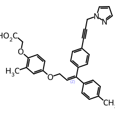 Cc1ccc(/C(=C/COc2ccc(OCC(=O)O)c(C)c2)c2ccc(C#CCn3cccn3)cc2)cc1